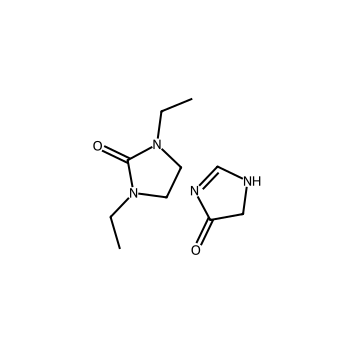 CCN1CCN(CC)C1=O.O=C1CNC=N1